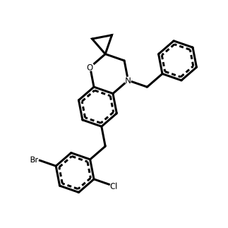 Clc1ccc(Br)cc1Cc1ccc2c(c1)N(Cc1ccccc1)CC1(CC1)O2